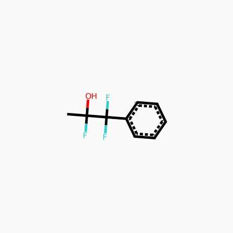 CC(O)(F)C(F)(F)c1[c]cccc1